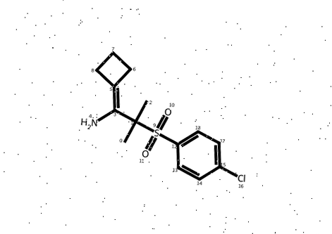 CC(C)(C(N)=C1CCC1)S(=O)(=O)c1ccc(Cl)cc1